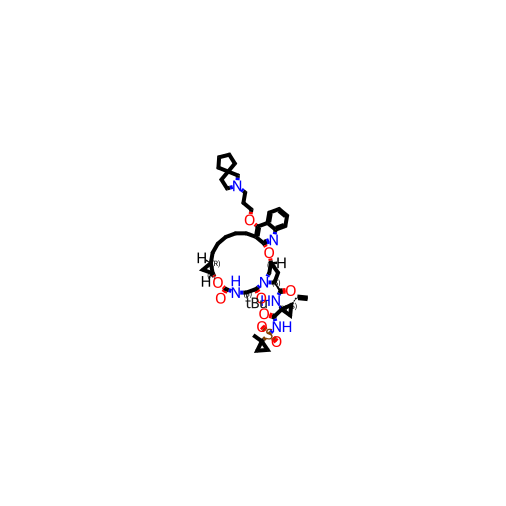 C=C[C@@H]1C[C@]1(NC(=O)[C@@H]1C[C@@H]2CN1C(=O)[C@H](C(C)(C)C)NC(=O)O[C@@H]1C[C@H]1CCCCCc1c(nc3ccccc3c1OCCCN1CCC3(CCCC3)C1)O2)C(=O)NS(=O)(=O)C1(C)CC1